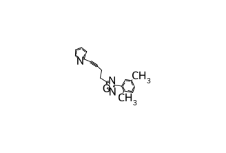 Cc1ccc(C)c(-c2noc(CCC#Cc3ccccn3)n2)c1